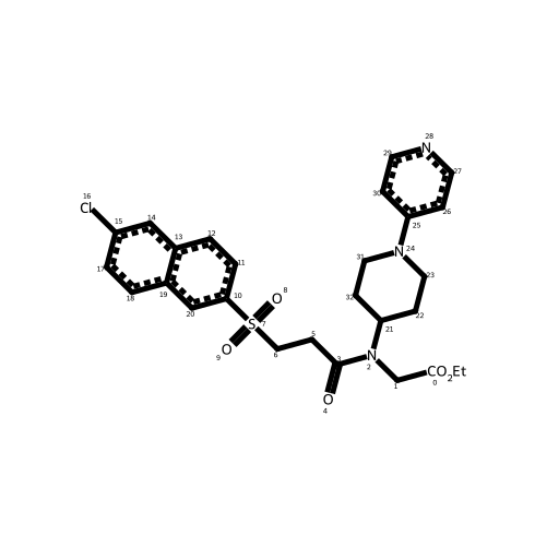 CCOC(=O)CN(C(=O)CCS(=O)(=O)c1ccc2cc(Cl)ccc2c1)C1CCN(c2ccncc2)CC1